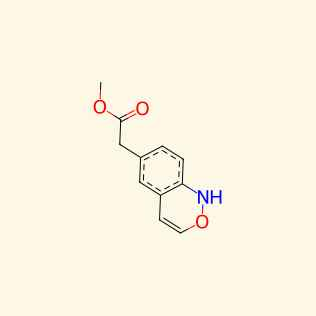 COC(=O)Cc1ccc2c(c1)C=CON2